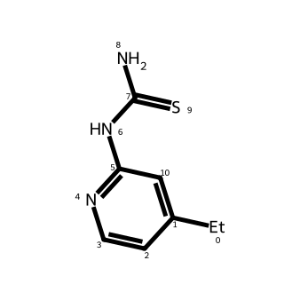 CCc1ccnc(NC(N)=S)c1